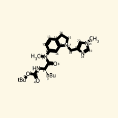 CCCC[C@H](NC(=O)OC(C)(C)C)C(=O)N(C)c1ccc2c(c1)N(Cc1cn(C)cn1)CC2